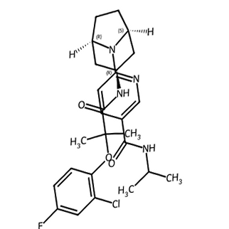 CC(C)NC(=O)c1ccc(N2[C@@H]3CC[C@H]2C[C@@H](NC(=O)C(C)(C)Oc2ccc(F)cc2Cl)C3)nc1